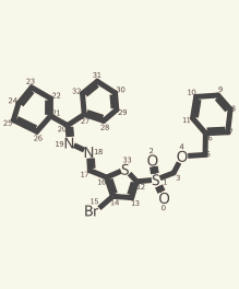 O=S(=O)(COCc1ccccc1)c1cc(Br)c(C=NN=C(c2ccccc2)c2ccccc2)s1